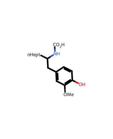 CCCCCCCC(Cc1ccc(O)c(OC)c1)NC(=O)O